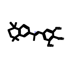 COc1cc(/C=C(\C)c2ccc3c(c2)C(C)(C)CCC3(C)C)cc(OC)c1OC